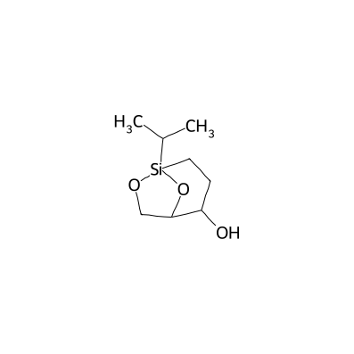 CC(C)[Si]12CCC(O)C(CO1)O2